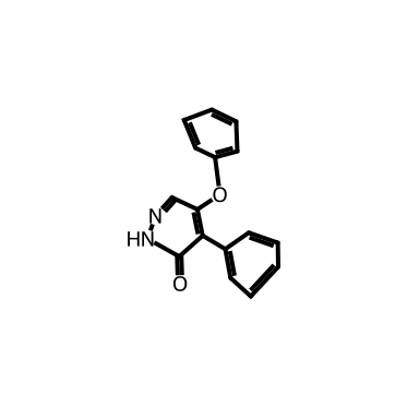 O=c1[nH]ncc(Oc2ccccc2)c1-c1ccccc1